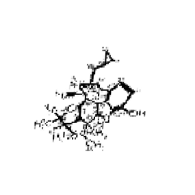 C#C[C@]12C[C@H]([C@](C)(O)C(C)(C)C)[C@@](C)(OC)[C@@H]3Oc4c(O)ccc5c4[C@@]31CCN(CC1CC1)[C@@H]2C5